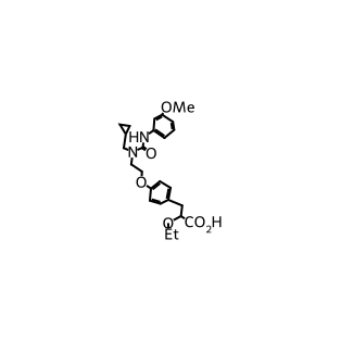 CCOC(Cc1ccc(OCCN(CC2CC2)C(=O)Nc2cccc(OC)c2)cc1)C(=O)O